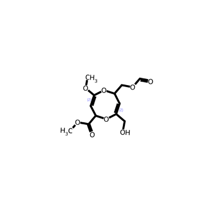 COC(=O)C1/C=C(/OC)OC(COC=O)/C=C(/CO)O1